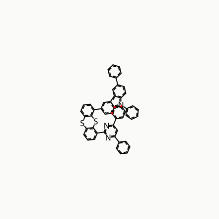 c1ccc(-c2ccc3c(c2)c2cc(-c4cccc5c4Sc4c(cccc4-c4nc(-c6ccccc6)cc(-c6ccccc6)n4)S5)ccc2n3-c2ccccc2)cc1